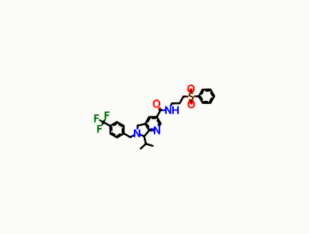 CC(C)C1c2ncc(C(=O)NCCCS(=O)(=O)c3ccccc3)cc2CN1Cc1ccc(C(F)(F)F)cc1